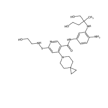 CC(CO)(CCO)Nc1cc(NC(=O)c2cnc(SNCCO)cc2N2CCC3(CC2)CC3)ccc1N